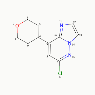 Clc1cc(C2CCOCC2)c2nccn2n1